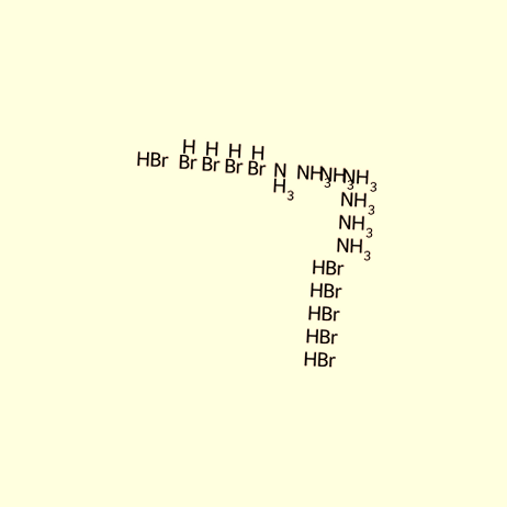 Br.Br.Br.Br.Br.Br.Br.Br.Br.Br.N.N.N.N.N.N.N